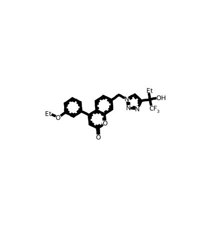 CCOc1cccc(-c2cc(=O)oc3cc(Cn4cc(C(O)(CC)C(F)(F)F)nn4)ccc23)c1